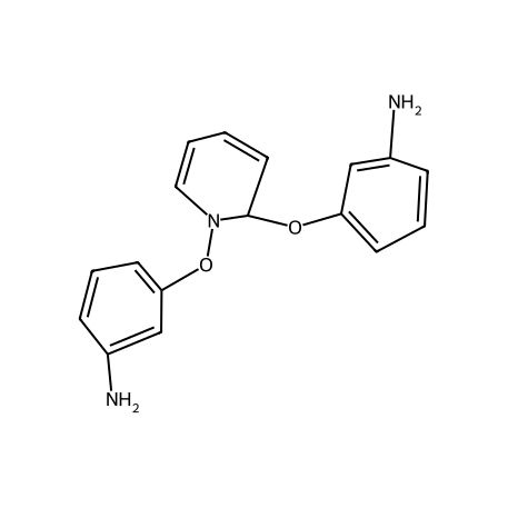 Nc1cccc(OC2C=CC=CN2Oc2cccc(N)c2)c1